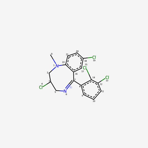 CN1CC(Cl)C/N=C(/c2cccc(Cl)c2Cl)c2cc(Cl)ccc21